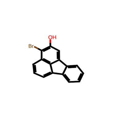 Oc1cc2c3c(cccc3c1Br)-c1ccccc1-2